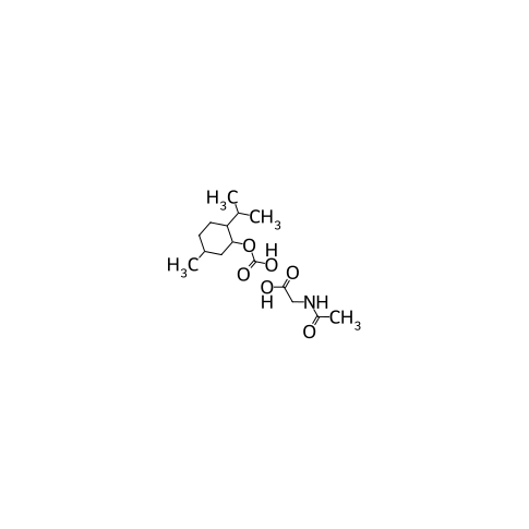 CC(=O)NCC(=O)O.CC1CCC(C(C)C)C(OC(=O)O)C1